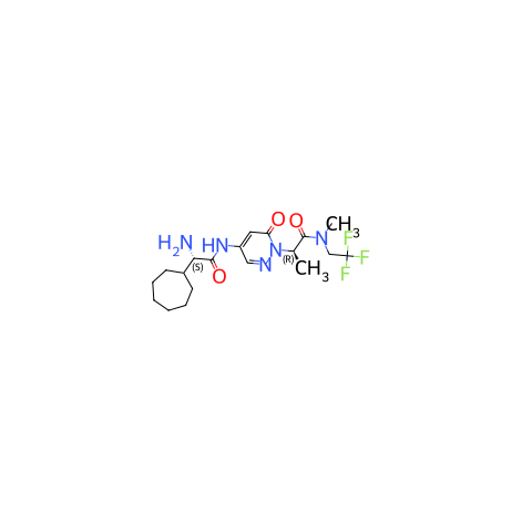 C[C@H](C(=O)N(C)CC(F)(F)F)n1ncc(NC(=O)[C@@H](N)C2CCCCCC2)cc1=O